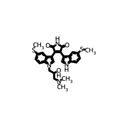 CSc1ccc2[nH]cc(C3=C(c4cn(CC(O)CN(C)C)c5ccc(SC)cc45)C(=O)NC3=O)c2c1